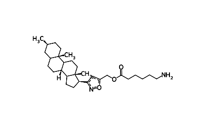 C[C@H]1CC[C@@]2(C)C(CC[C@@H]3C2CC[C@@]2(C)C3CC[C@@H]2c2cc(COC(=O)CCCCCN)on2)C1